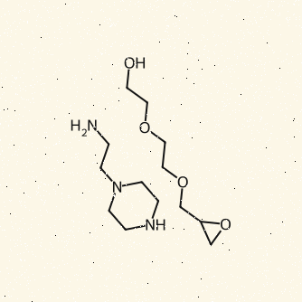 NCCN1CCNCC1.OCCOCCOCC1CO1